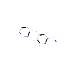 C=[N+]([O-])c1cc(Cl)c(Oc2ccccn2)c(Cl)c1